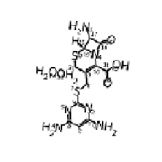 Nc1cc(N)nc(SCC2=C(C(=O)O)N3C(=O)C(N)[C@H]3SC2)n1.O.O